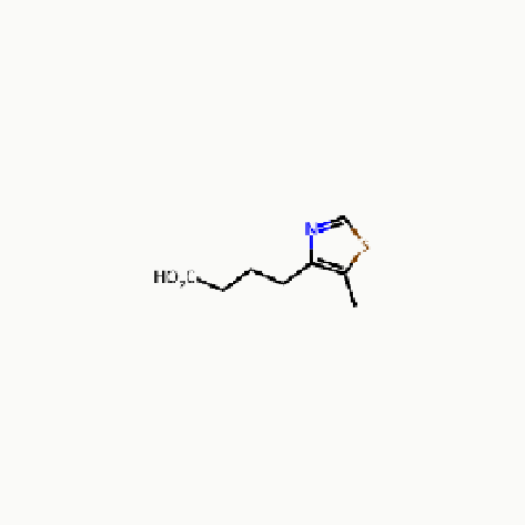 Cc1scnc1CCCC(=O)O